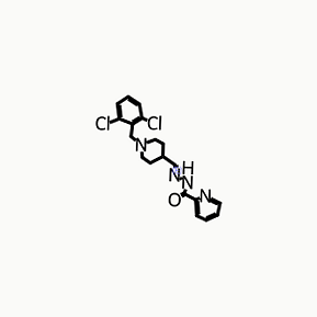 O=C(N/N=C/C1CCN(Cc2c(Cl)cccc2Cl)CC1)c1ccccn1